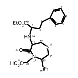 CCOC(=O)C(CCc1ccccc1)NC1CSCC(C(C)C)N(CC(=O)O)C1=O